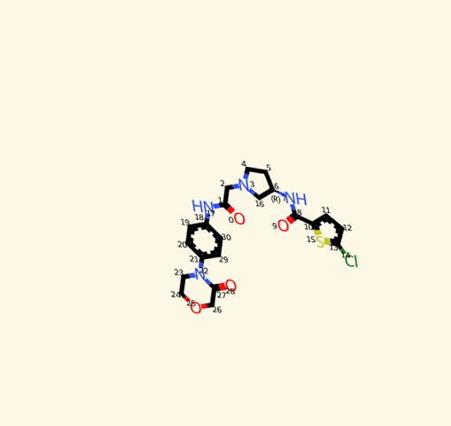 O=C(CN1CC[C@@H](NC(=O)c2ccc(Cl)s2)C1)Nc1ccc(N2CCOCC2=O)cc1